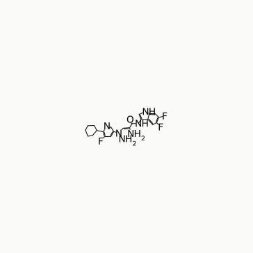 N/C(=C\N(N)c1cnc(C2CCCCC2)c(F)c1)C(=O)Nc1c[nH]c2cc(F)c(F)cc12